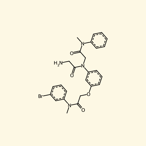 CN(C(=O)COc1cccc(N(CC(=O)N(C)c2ccccc2)C(=O)CN)c1)c1cccc(Br)c1